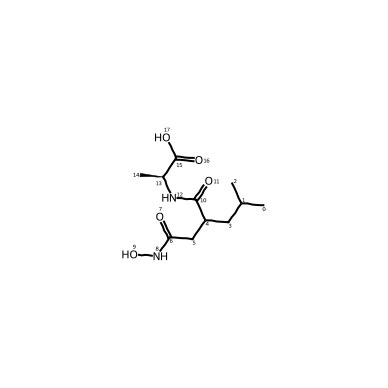 CC(C)CC(CC(=O)NO)C(=O)N[C@@H](C)C(=O)O